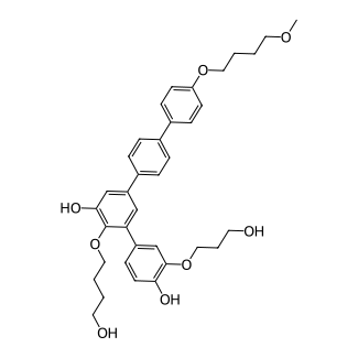 COCCCCOc1ccc(-c2ccc(-c3cc(O)c(OCCCCO)c(-c4ccc(O)c(OCCCO)c4)c3)cc2)cc1